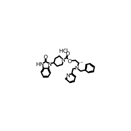 C[C@@H](COC(=O)N1CCC(n2c(=O)[nH]c3ccccc32)CC1)N(Cc1ccccc1)Cc1ccccn1.Cl